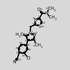 Cc1nn(Cc2nc(C(=O)N(C)C)cs2)c(C)c1-c1ccc(C#N)c(Cl)c1